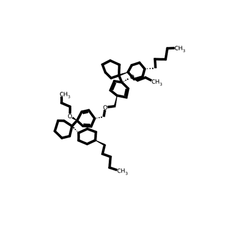 CCCCC[C@H]1CC[C@H](C2([C@]3(OCCC)C=C[C@H](COC[C@H]4C=C[C@@](OCCC)(C5([C@H]6CC[C@H](CCCCC)CC6)CCCCC5)C=C4)C=C3)CCCCC2)CC1